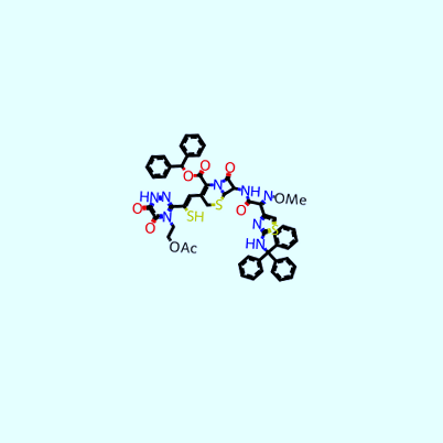 CON=C(C(=O)NC1C(=O)N2C(C(=O)OC(c3ccccc3)c3ccccc3)=C(C=C(S)c3n[nH]c(=O)c(=O)n3CCOC(C)=O)CSC12)c1csc(NC(c2ccccc2)(c2ccccc2)c2ccccc2)n1